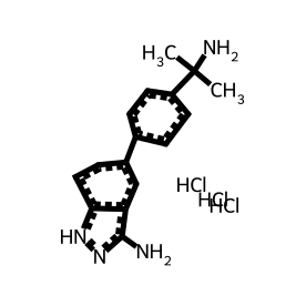 CC(C)(N)c1ccc(-c2ccc3[nH]nc(N)c3c2)cc1.Cl.Cl.Cl